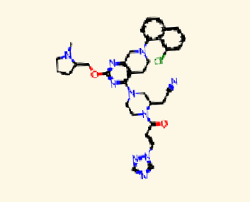 CN1CCCC1COc1nc2c(c(N3CCN(C(=O)/C=C/n4cncn4)C(CC#N)C3)n1)CCN(c1cccc3cccc(Cl)c13)C2